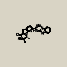 CCn1c(NC(=O)c2ccc3cc4n(c3n2)[C@H](C)[C@@H](C)NC4=O)nc2ccccc21